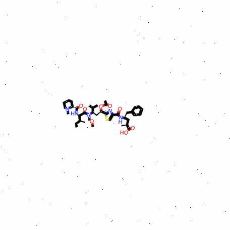 CC[C@H](C)[C@H](NC(=O)[C@H]1CCCCN1C)C(=O)N(COC)[C@H](C[C@@H](OC(C)=O)c1nc(C(=O)N[C@@H](Cc2ccccc2)C[C@H](C)C(=O)O)cs1)C(C)C